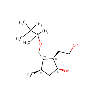 C[C@@H]1C[C@H](O)[C@H](CCO)[C@H]1CO[Si](C)(C)C(C)(C)C